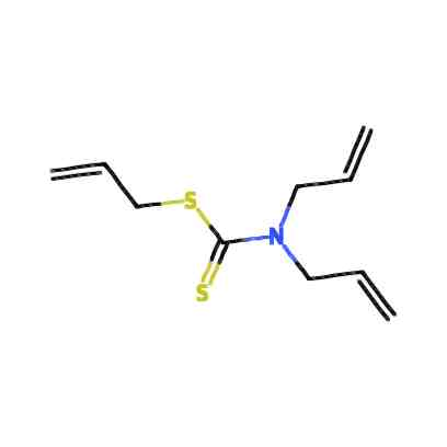 C=CCSC(=S)N(CC=C)CC=C